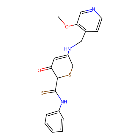 COc1cnccc1CNC1=CC(=O)C(C(=S)Nc2ccccc2)SC1